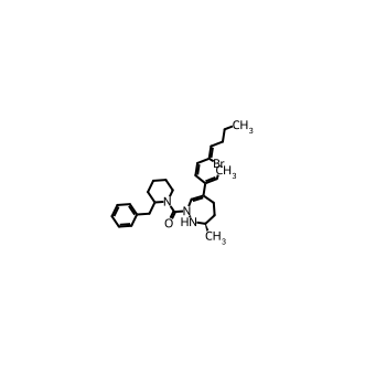 C\C=C(/C=C\C(Br)=C\CCC)C1=CN(C(=O)N2CCCCC2Cc2ccccc2)N[C@H](C)CC1